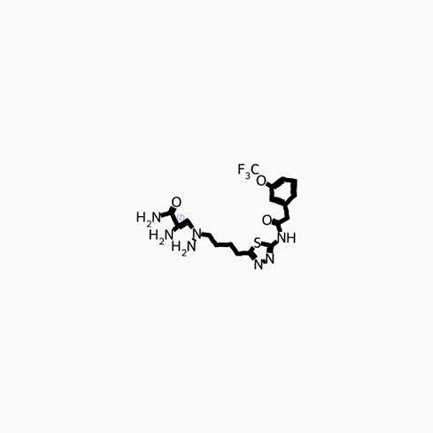 NC(=O)/C(N)=C/N(N)CCCCc1nnc(NC(=O)Cc2cccc(OC(F)(F)F)c2)s1